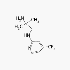 CC(C)(N)CNc1cc(C(F)(F)F)ccn1